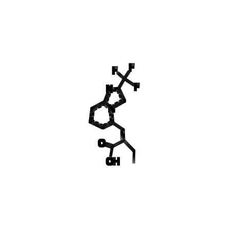 CCC(=Cc1cccc2nc(C(F)(F)F)cn12)C(=O)O